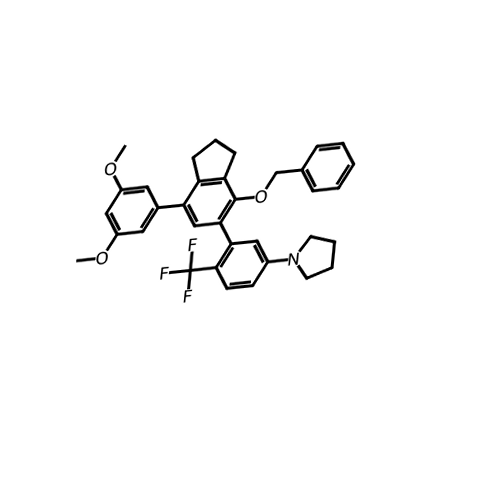 COc1cc(OC)cc(-c2cc(-c3cc(N4CCCC4)ccc3C(F)(F)F)c(OCc3ccccc3)c3c2CCC3)c1